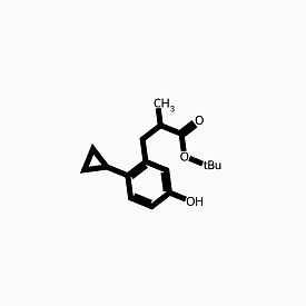 CC(Cc1cc(O)ccc1C1CC1)C(=O)OC(C)(C)C